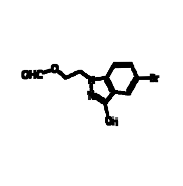 O=COCCn1nc(O)c2cc(Br)ccc21